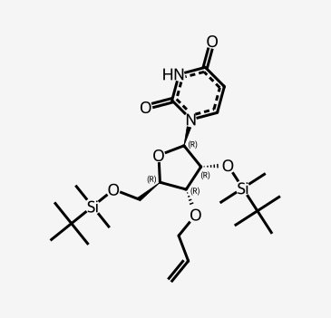 C=CCO[C@H]1[C@@H](O[Si](C)(C)C(C)(C)C)[C@H](n2ccc(=O)[nH]c2=O)O[C@@H]1CO[Si](C)(C)C(C)(C)C